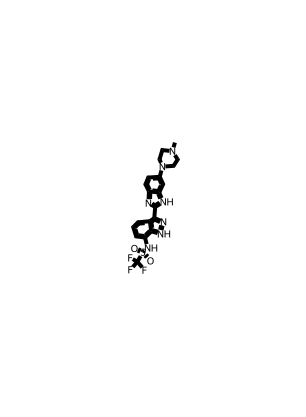 CN1CCN(c2ccc3nc(-c4n[nH]c5c(NS(=O)(=O)C(F)(F)F)cccc45)[nH]c3c2)CC1